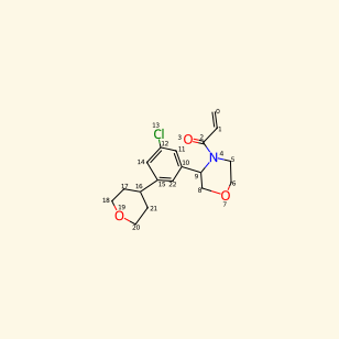 C=CC(=O)N1CCOCC1c1cc(Cl)cc(C2CCOCC2)c1